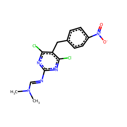 CN(C)C=Nc1nc(Cl)c(Cc2ccc([N+](=O)[O-])cc2)c(Cl)n1